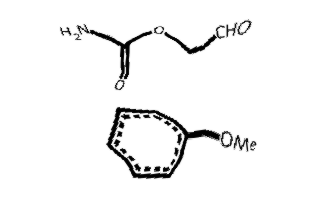 COc1ccccc1.NC(=O)OCC=O